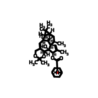 CC1=C[C@]23C(=O)[C@@H](C=C4COC(C)(C)O[C@H]4[C@]2(O)[C@H]1OC(=O)N1CC2CCC(CC2)C1)[C@H]1[C@@H](C[C@H]3C)C1(C)C